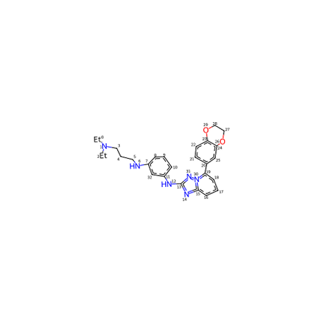 CCN(CC)CCCNc1cccc(Nc2nc3cccc(-c4ccc5c(c4)OCCO5)n3n2)c1